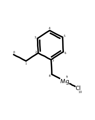 CCc1ccccc1[CH2][Mg][Cl]